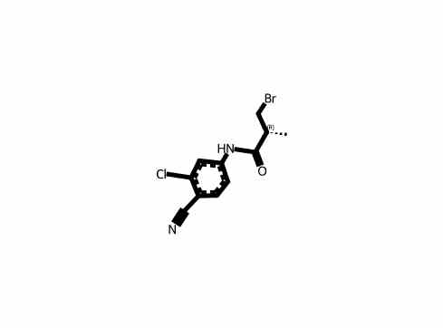 C[C@@H](CBr)C(=O)Nc1ccc(C#N)c(Cl)c1